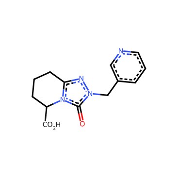 O=C(O)C1CCCc2nn(Cc3cccnc3)c(=O)n21